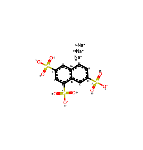 O=S(=O)([O-])c1cc(S(=O)(=O)[O-])c2cc(S(=O)(=O)[O-])ccc2c1.[Na+].[Na+].[Na+]